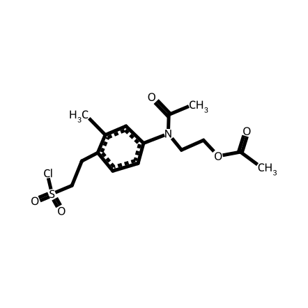 CC(=O)OCCN(C(C)=O)c1ccc(CCS(=O)(=O)Cl)c(C)c1